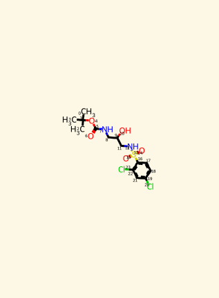 CC(C)(C)OC(=O)NCC(O)CNS(=O)(=O)c1ccc(Cl)cc1Cl